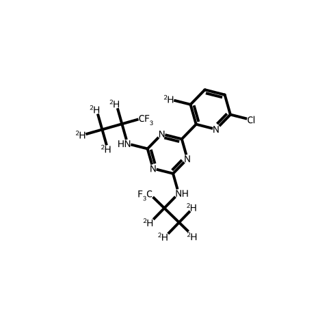 [2H]c1ccc(Cl)nc1-c1nc(NC([2H])(C([2H])([2H])[2H])C(F)(F)F)nc(NC([2H])(C([2H])([2H])[2H])C(F)(F)F)n1